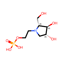 O=P(O)(O)OCCN1C[C@@H](O)[C@H](O)[C@H]1CO